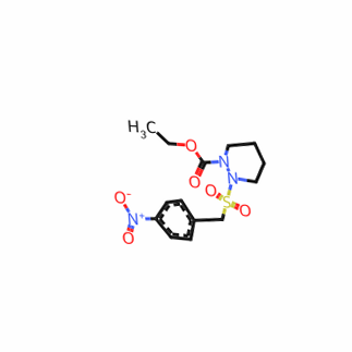 CCOC(=O)N1CCCCN1S(=O)(=O)Cc1ccc([N+](=O)[O-])cc1